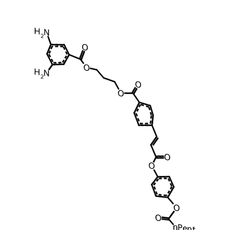 CCCCCC(=O)Oc1ccc(OC(=O)C=Cc2ccc(C(=O)OCCCOC(=O)c3cc(N)cc(N)c3)cc2)cc1